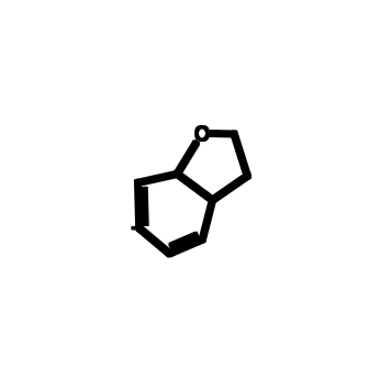 [C]1=CC2OCCC2C=C1